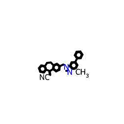 Cc1cc(-c2ccccc2)cc2c1ncn2Cc1ccc2c(c1)CCc1ccccc1C2=CC#N